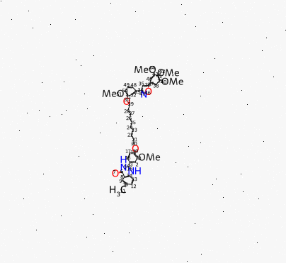 COc1cc(C2NC(=O)c3cc(C)ccc3N2)ccc1OCCCCCCCCCCOc1cc(-c2cc(-c3cc(OC)c(OC)c(OC)c3)on2)ccc1OC